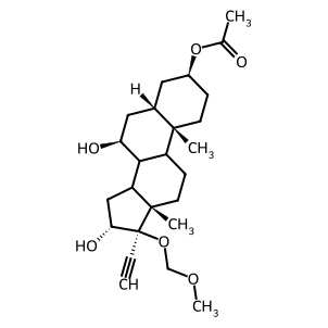 C#C[C@]1(OCOC)[C@H](O)CC2C3C(CC[C@@]21C)[C@@]1(C)CC[C@H](OC(C)=O)C[C@H]1C[C@@H]3O